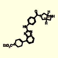 CCOC(=O)N1CC=C(c2cccn3nc(Nc4ccc(C(=O)N5C[C@H]6CN[C@H]6C5)cc4)nc23)CC1